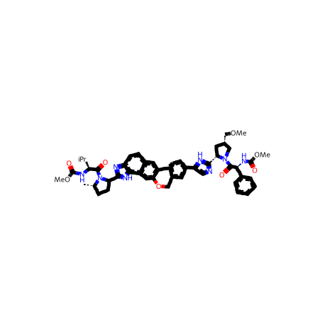 COC[C@H]1C[C@@H](c2ncc(-c3ccc4c(c3)COc3cc5c(ccc6nc(C7CC[C@H](C)N7C(=O)[C@@H](NC(=O)OC)C(C)C)[nH]c65)cc3-4)[nH]2)N(C(=O)[C@H](NC(=O)OC)c2ccccc2)C1